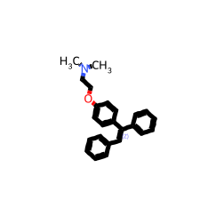 CN(C)CCOc1ccc(/C(=C\c2ccccc2)c2ccccc2)cc1